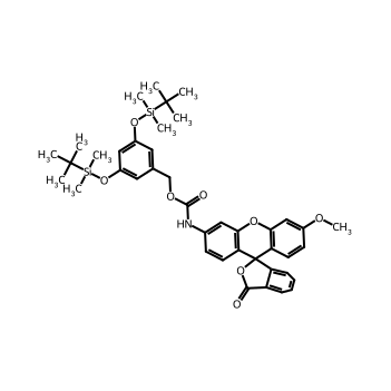 COc1ccc2c(c1)Oc1cc(NC(=O)OCc3cc(O[Si](C)(C)C(C)(C)C)cc(O[Si](C)(C)C(C)(C)C)c3)ccc1C21OC(=O)c2ccccc21